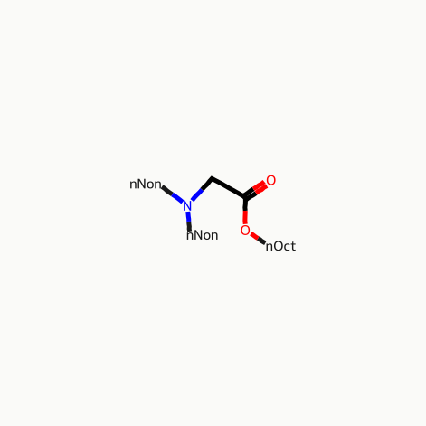 CCCCCCCCCN(CCCCCCCCC)CC(=O)OCCCCCCCC